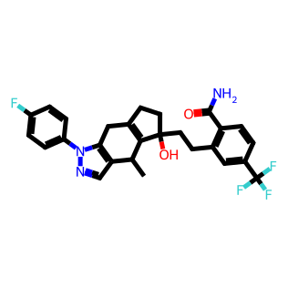 CC1C2=C(CCC2(O)CCc2cc(C(F)(F)F)ccc2C(N)=O)Cc2c1cnn2-c1ccc(F)cc1